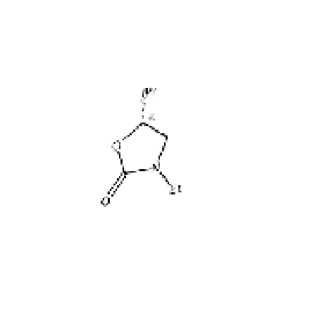 CCN1C[C@@H](C(C)C)OC1=O